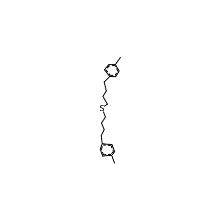 Cc1ccc(CCCCSCCCCc2ccc(C)cc2)cc1